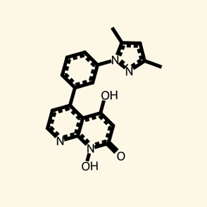 Cc1cc(C)n(-c2cccc(-c3ccnc4c3c(O)cc(=O)n4O)c2)n1